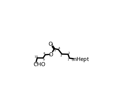 CCCCCCCCCCCC(=O)OCCCC=O